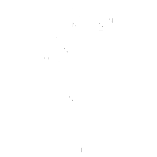 CC(C)c1cc(-c2ccc(F)cc2)nc2cc(C(=O)N3CCN(C(=O)c4ccn[nH]4)CC3(C)C)oc12